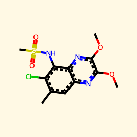 COc1nc2cc(C)c(Cl)c(NS(C)(=O)=O)c2nc1OC